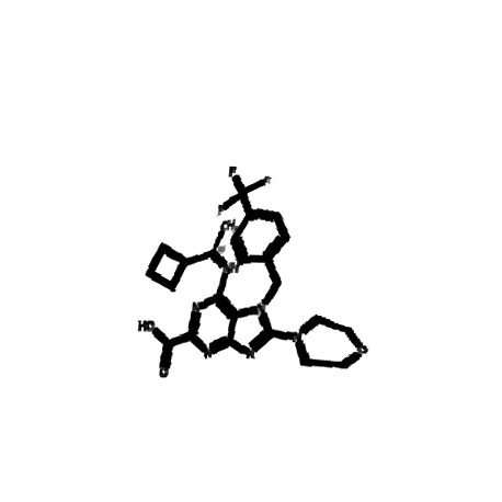 C[C@@H](Nc1nc(C(=O)O)nc2nc(N3CCOCC3)n(Cc3ccc(C(F)(F)F)cc3)c12)C1CCC1